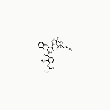 C=CCNC(=O)C1N(C(=O)[C@@H](O)[C@H](Cc2ccccc2)NC(=O)c2cccc(OC(C)=O)c2C)CSC1(C)C